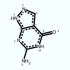 Nc1nc2[nH]ncc2c(=O)[nH]1